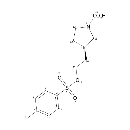 Cc1ccc(S(=O)(=O)OCC[C@H]2CCN(C(=O)O)C2)cc1